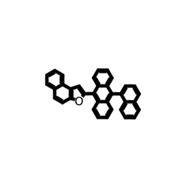 c1ccc2c(-c3c4ccccc4c(-c4cc5c(ccc6ccccc65)o4)c4ccccc34)cccc2c1